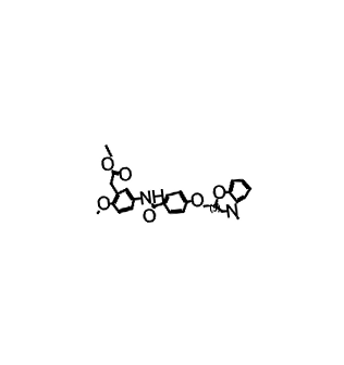 CCOC(=O)Cc1cc(NC(=O)c2ccc(OC[C@@H]3CN(C)c4ccccc4O3)cc2)ccc1OC